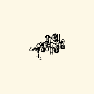 CSCC[C@H](N)C(=O)N1CCC[C@H]1C(=O)NCC(=O)N1CCC[C@H]1C(=O)N1CCC[C@H]1C(=O)NCC(=O)N1CCC[C@H]1C(=O)N1CCC[C@H]1C(=O)NCC(=O)O